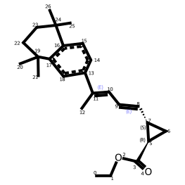 CCOC(=O)[C@@H]1C[C@H]1/C=C/C=C(\C)c1ccc2c(c1)C(C)(C)CCC2(C)C